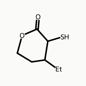 CCC1CCOC(=O)C1S